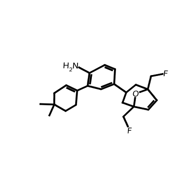 CC1(C)CC=C(c2cc(C3CC4(CF)C=CC(CF)(C3)O4)ccc2N)CC1